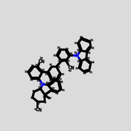 CC12CC(C#N)CCC1N(c1cccc(C#N)c1C1=CC=CC(c3cccc(-n4c5ccccc5c5ccccc54)c3C#N)C1)c1ccccc12